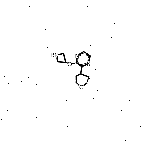 c1cnc(C2CCOCC2)c(OC2CNC2)n1